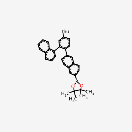 CC(C)(C)c1ccc(-c2ccc3cc(B4OC(C)(C)C(C)(C)O4)ccc3c2)c(-c2cccc3ccccc23)c1